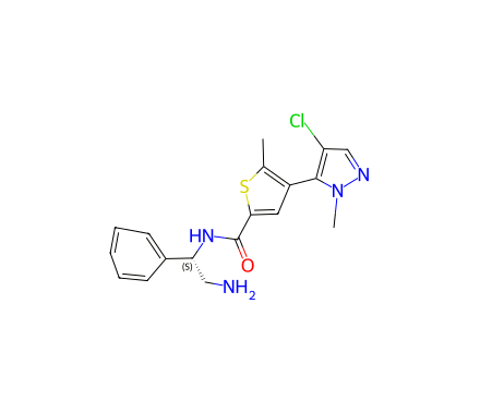 Cc1sc(C(=O)N[C@H](CN)c2ccccc2)cc1-c1c(Cl)cnn1C